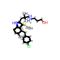 CC(C)c1ccc2[nH]c(CC(C)(C)CNCCCO)c(SC(C)(C)C)c2c1Cc1ccc(Cl)cc1